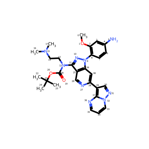 COc1cc(N)ccc1-n1nc(N(CCN(C)C)C(=O)OC(C)(C)C)c2cnc(-c3cnn4cccnc34)cc21